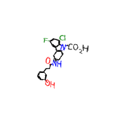 O=C(O)Cn1c2c(c3cc(F)cc(Cl)c31)C[C@H](NC(=O)CCc1cccc(O)c1)CC2